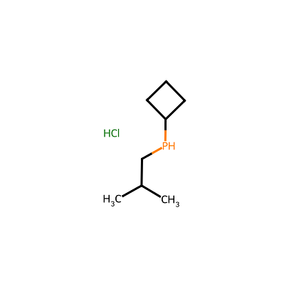 CC(C)CPC1CCC1.Cl